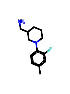 Cc1ccc(N2CCCC(CN)C2)c(F)c1